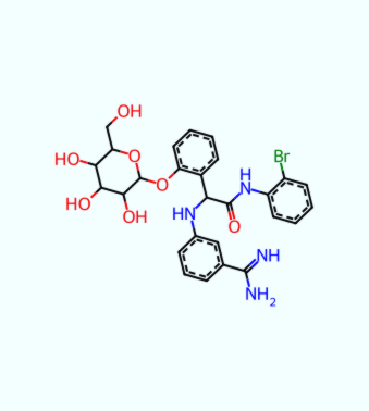 N=C(N)c1cccc(NC(C(=O)Nc2ccccc2Br)c2ccccc2OC2OC(CO)C(O)C(O)C2O)c1